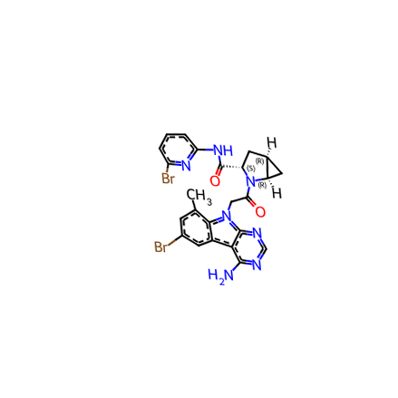 Cc1cc(Br)cc2c3c(N)ncnc3n(CC(=O)N3[C@@H]4C[C@@H]4C[C@H]3C(=O)Nc3cccc(Br)n3)c12